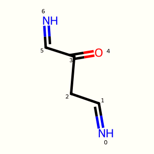 N=CCC(=O)C=N